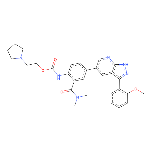 COc1ccccc1-c1n[nH]c2ncc(-c3ccc(NC(=O)OCCN4CCCC4)c(C(=O)N(C)C)c3)cc12